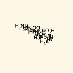 Cn1nnnc1SCC1=C(C(=O)O)N2C(=O)[C@@H](NC(=O)CNc3csc(N)n3)[C@H]2SC1.[NaH]